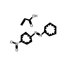 C=CC(=O)O.O=[N+]([O-])c1ccc(N=Nc2ccccc2)cc1